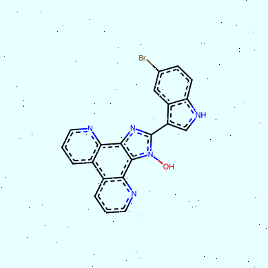 On1c(-c2c[nH]c3ccc(Br)cc23)nc2c3ncccc3c3cccnc3c21